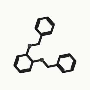 C1=CC(OCc2ccccc2)C(OCc2ccccc2)C=C1